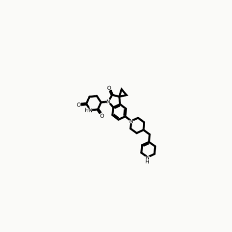 O=C1CCC(N2C(=O)C3(CC3)c3cc(N4CCC(CC5=CCNCC5)CC4)ccc32)C(=O)N1